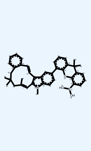 C/C1=C\c2c(c3cc(-c4cccc5c4Oc4c(B(O)O)cccc4C5(C)C)ccc3n2C)/C=C/c2ccccc2CC(C)(C)C1